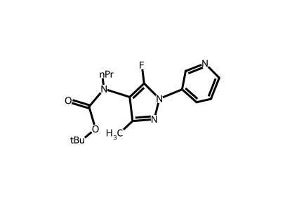 CCCN(C(=O)OC(C)(C)C)c1c(C)nn(-c2cccnc2)c1F